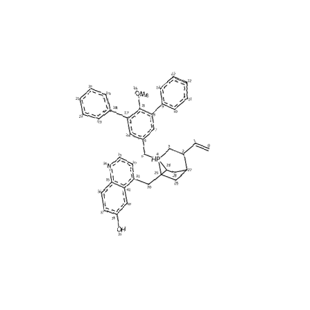 C=CC1C[PH]2(Cc3cc(-c4ccccc4)c(OC)c(-c4ccccc4)c3)CCC1CC2Cc1ccnc2ccc(O)cc12